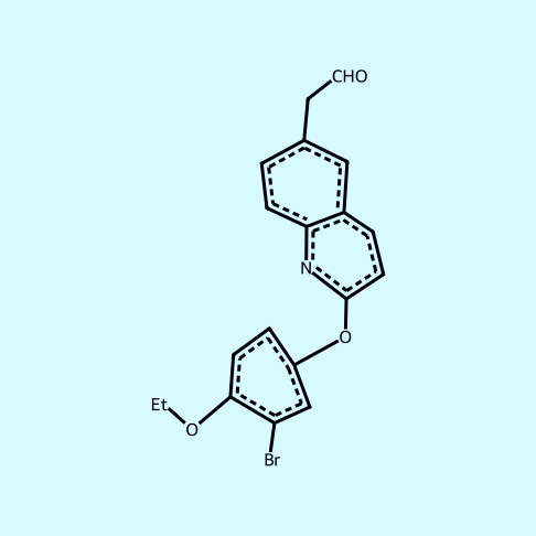 CCOc1ccc(Oc2ccc3cc(CC=O)ccc3n2)cc1Br